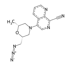 C[C@@H]1CN(c2cnc(C#N)c3ncccc23)C[C@H](CN=[N+]=[N-])O1